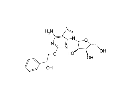 Nc1nc(OC[C@H](O)c2ccccc2)nc2c1ncn2[C@@H]1O[C@H](CO)[C@@H](O)[C@H]1O